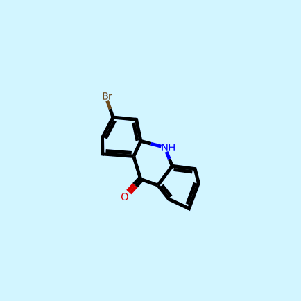 O=c1c2ccccc2[nH]c2cc(Br)ccc12